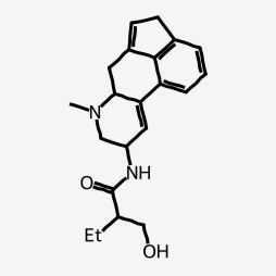 CCC(CO)C(=O)NC1C=C2c3cccc4c3C(=CC4)CC2N(C)C1